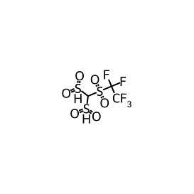 O=[SH](=O)C([SH](=O)=O)S(=O)(=O)C(F)(F)C(F)(F)F